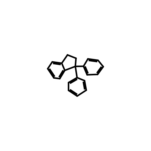 c1ccc(C2(c3ccccc3)CCc3ccccc32)cc1